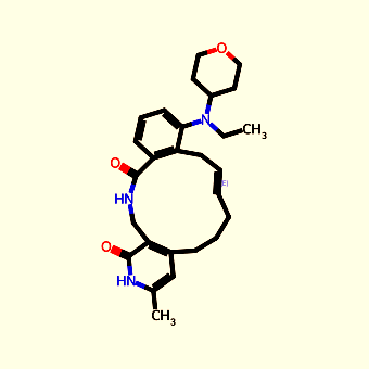 CCN(c1cccc2c1C/C=C/CCCc1cc(C)[nH]c(=O)c1CNC2=O)C1CCOCC1